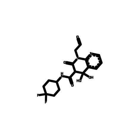 O=CCN1C(=O)C(C(=O)NC2CCC(F)(F)CC2)C(O)(O)c2cccnc21